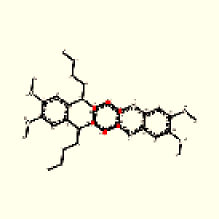 CCCCC12c3ccccc3C(CCCC)(c3cc(OC)c(OC)cc31)c1cc3nc4cc(OC)c(OC)cc4nc3cc12